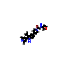 Cc1cc(-c2[nH]c3ccc(C4CCN(C(=O)CNC5CCOC5)CC4)cc3c2C(C)C)cc(C)n1